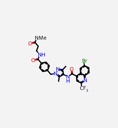 CNC(=O)CCNC(=O)c1ccc(Cn2nc(C)c(NC(=O)c3cc(C(F)(F)F)nc4ccc(Br)cc34)c2C)cc1